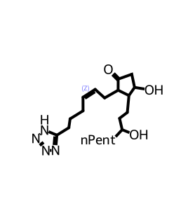 CCCCCC(O)CCC1C(O)CC(=O)C1C/C=C\CCCc1nnn[nH]1